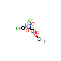 CCCOC(=O)N1CCc2c(sc(NC(=O)C(F)(F)F)c2C(=O)Nc2ccc(Cl)cc2)C1